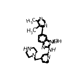 Cc1ncnc(-c2ccc3nc(Nc4cc(CN5CCNCC5)ccn4)[nH]c3c2)c1C.Cl